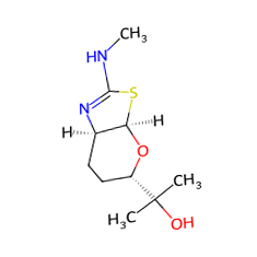 CNC1=N[C@@H]2CC[C@@H](C(C)(C)O)O[C@@H]2S1